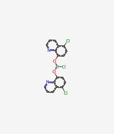 Clc1ccc([O][Zr]([Cl])[O]c2ccc(Cl)c3cccnc23)c2ncccc12